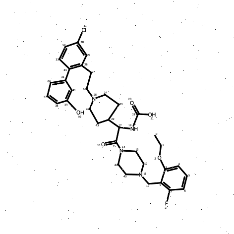 CCOc1cccc(F)c1CN1CCN(C(=O)C(NC(=O)O)C2CCN(CCc3cc(Cl)ccc3-c3cccc(O)c3)CC2)CC1